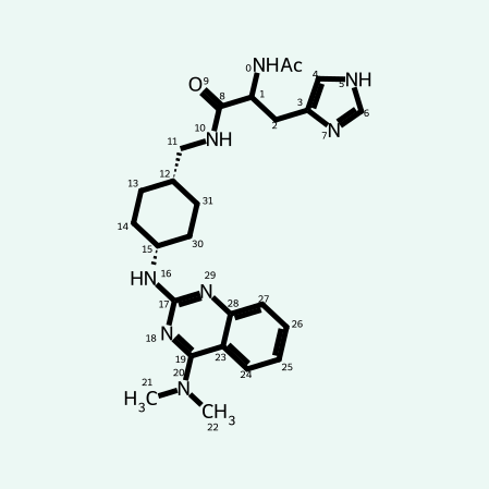 CC(=O)NC(Cc1c[nH]cn1)C(=O)NC[C@H]1CC[C@@H](Nc2nc(N(C)C)c3ccccc3n2)CC1